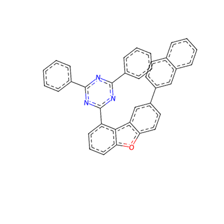 c1ccc(-c2nc(-c3ccccc3)nc(-c3cccc4oc5ccc(-c6ccc7ccccc7c6)cc5c34)n2)cc1